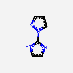 [c]1cnn(-c2ncc[nH]2)c1